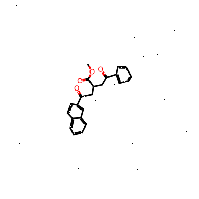 COC(=O)C(CC(=O)c1ccccc1)CC(=O)c1ccc2ccccc2c1